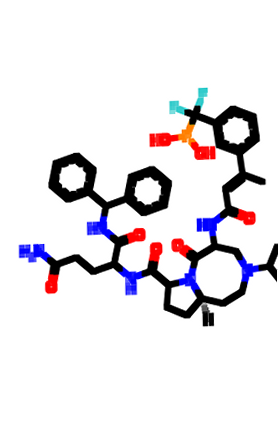 C/C(=C\C(=O)NC1CN(C(C)C)CC[C@H]2CCC(C(=O)NC(CCC(N)=O)C(=O)NC(c3ccccc3)c3ccccc3)N2C1=O)c1cccc(C(F)(F)P(O)O)c1